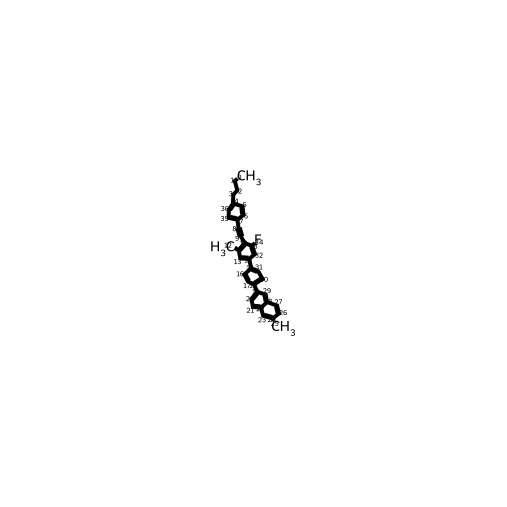 CCCCc1ccc(C#Cc2c(C)cc(-c3ccc(-c4ccc5cc(C)ccc5c4)cc3)cc2F)cc1